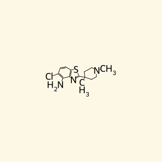 CN1CCC(C)(c2nc3c(N)c(Cl)ccc3s2)CC1